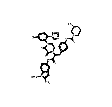 O=C(O)c1cc2cc(NC(=O)C(Cc3ccc(NC(=O)N4CCC[C@H](O)C4)cc3)N3CCN(c4cc(Cl)ccc4-n4cnnn4)C(=O)C3=O)ccc2n1C(=O)O